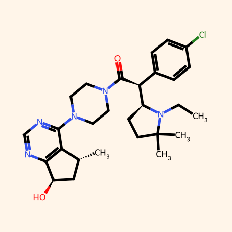 CCN1[C@H]([C@@H](C(=O)N2CCN(c3ncnc4c3[C@H](C)C[C@H]4O)CC2)c2ccc(Cl)cc2)CCC1(C)C